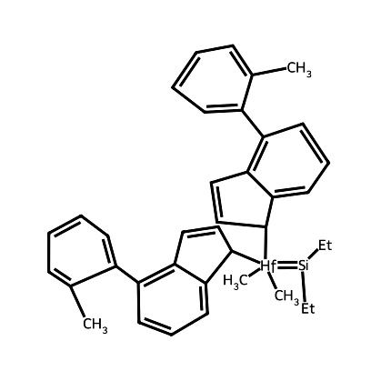 CC[Si](CC)=[Hf]([CH3])([CH3])([CH]1C=Cc2c(-c3ccccc3C)cccc21)[CH]1C=Cc2c(-c3ccccc3C)cccc21